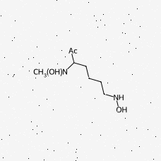 CC(=O)C(CCCCNO)N(C)O